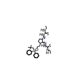 CCNC(=S)N/N=C1\CCC(CCO[Si](CC(C)(C)C)(c2ccccc2)c2ccccc2)\C1=N/NC(=S)NCC